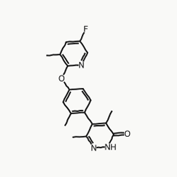 Cc1cc(Oc2ncc(F)cc2C)ccc1-c1c(C)n[nH]c(=O)c1C